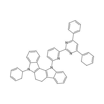 C1=CCCC(c2cc(-c3ccccc3)nc(-c3cccc(-n4c5c(c6ccccc64)CCc4c-5c5ccccc5n4C4C=CC=CC4)n3)n2)=C1